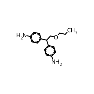 CCCOCC(c1ccc(N)cc1)c1ccc(N)cc1